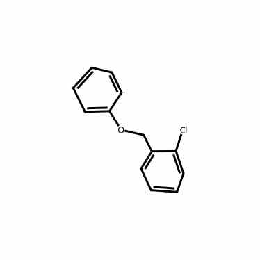 Clc1ccccc1COc1[c]cccc1